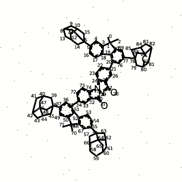 CC1(C)c2cc(C34CC5CC(CC(C5)C3)C4)ccc2-c2c(-c3ccc4c(c3)c(=O)n3c(=O)c5cc(-c6cc(C78CC9CC%10CC(C7)C%10(C9)C8)cc7c6-c6ccc(C89CC%10CC%11CC(C8)C9(C%11)C%10)cc6C7(C)C)ccc5n43)cc(C34CC5CC6CC(C3)C6(C5)C4)cc21